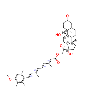 COc1cc(C)c(/C=C/C(C)=C/C=C/C(C)=C/C(=O)OCC(=O)[C@@]2(O)CC[C@H]3C4CCC5=CC(=O)CC[C@]5(C)[C@H]4[C@@H](O)C[C@@]32C)c(C)c1C